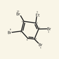 CCc1c(Br)c(Br)cc(Br)c1Br